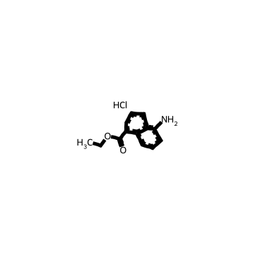 CCOC(=O)c1cccc2c(N)cccc12.Cl